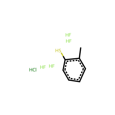 Cc1ccccc1S.Cl.F.F.F.F